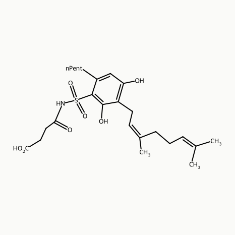 CCCCCc1cc(O)c(CC=C(C)CCC=C(C)C)c(O)c1S(=O)(=O)NC(=O)CCC(=O)O